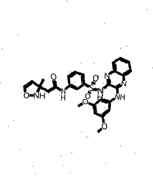 COc1cc(Nc2nc3ccccc3nc2NS(=O)(=O)c2cccc(NC(=O)CC3(C)C=CON3)c2)cc(OC)c1